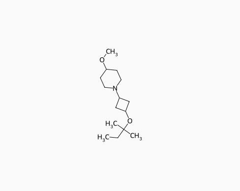 CCC(C)(C)OC1CC(N2CCC(OC)CC2)C1